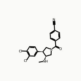 CN[C@@H]1CN(C(=O)c2ccc(C#N)cc2)C[C@@H]1c1ccc(Cl)c(Cl)c1